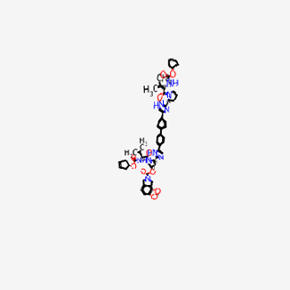 CC(C)[C@H](NC(=O)OC1CCCC1)C(=O)N1CCC[C@H]1c1nc(-c2ccc(-c3ccc(-c4cnc([C@@H]5C[C@@H](OC(=O)N6Cc7ccc8c(c7C6)OCO8)CN5C(=O)[C@@H](NC(=O)OC5CCCC5)C(C)C)[nH]4)cc3)cc2)c[nH]1